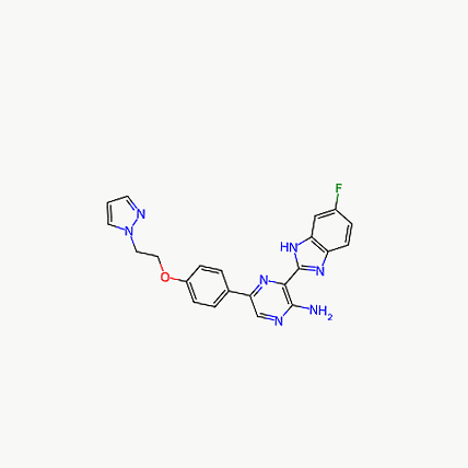 Nc1ncc(-c2ccc(OCCn3cccn3)cc2)nc1-c1nc2ccc(F)cc2[nH]1